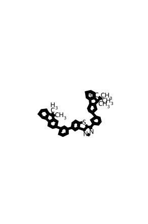 CC1(C)c2ccccc2-c2ccc(-c3cccc(-c4ccc5c(c4)C4N=CN=C(c6cccc(-c7ccc8c(c7)C(C)(C(C)(C)C)c7ccccc7-8)c6)C4S5)c3)cc21